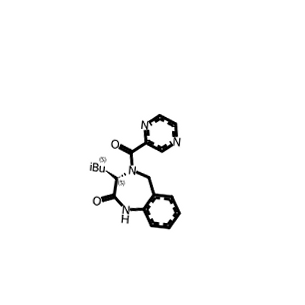 CC[C@H](C)[C@H]1C(=O)Nc2ccccc2CN1C(=O)c1cnccn1